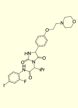 CC(C)C(C(=O)Nc1ccc(I)cc1F)N1C(=O)NC(c2ccc(OCCN3CCOCC3)cc2)C1=O